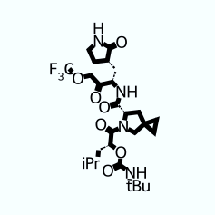 CC(C)C[C@@H](OC(=O)NC(C)(C)C)C(=O)N1CC2(CC2)C[C@H]1C(=O)N[C@@H](C[C@@H]1CCNC1=O)C(=O)COC(F)(F)F